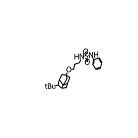 CC(C)(C)C1C2CC3CC1CC(OCCCNS(=O)(=O)Nc1ccccc1)(C3)C2